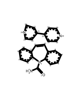 NC(=O)N1c2ccccc2C=Cc2ccccc21.c1cc(-c2ccncc2)ccn1